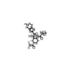 CN1CCc2nc(C(=O)N[C@@H]3C[C@@H](C(=O)N(C)C)CC[C@@H]3NC(=O)CCl)sc2C1.Cl